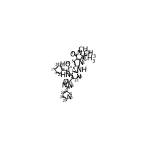 CN1C(=O)c2ccc(Nc3cc(N[C@H](CO)c4ccccc4)c(-c4nc(-c5cccnc5)no4)cn3)nc2C1(C)C